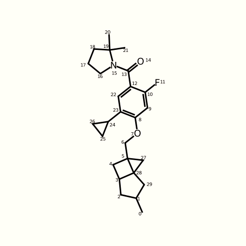 CC1CC2CC3(COc4cc(F)c(C(=O)N5CCCC5(C)C)cc4C4CC4)CC23C1